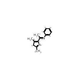 CC1=NC(/C(C)=N/c2ccccc2)=C(C)C1